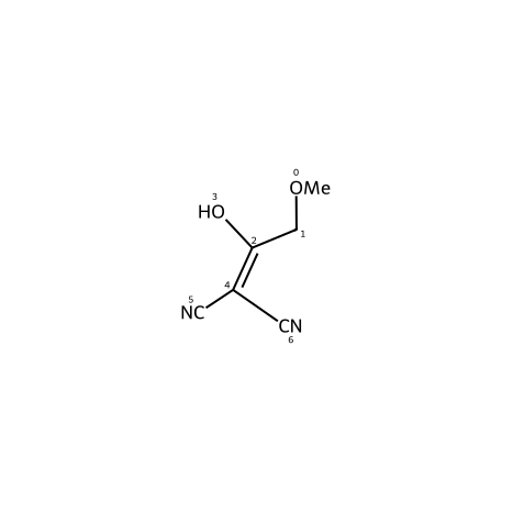 COCC(O)=C(C#N)C#N